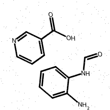 Nc1ccccc1NC=O.O=C(O)c1cccnc1